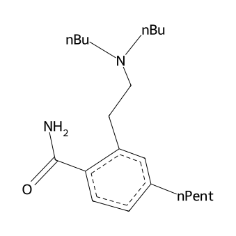 CCCCCc1ccc(C(N)=O)c(CCN(CCCC)CCCC)c1